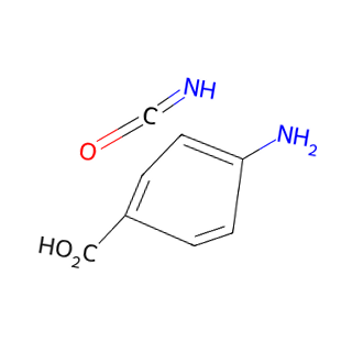 N=C=O.Nc1ccc(C(=O)O)cc1